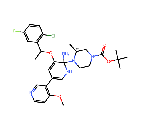 COc1ccncc1C1=CNC(N)(N2CCN(C(=O)OC(C)(C)C)C[C@@H]2C)C(OC(C)c2cc(F)ccc2Cl)=C1